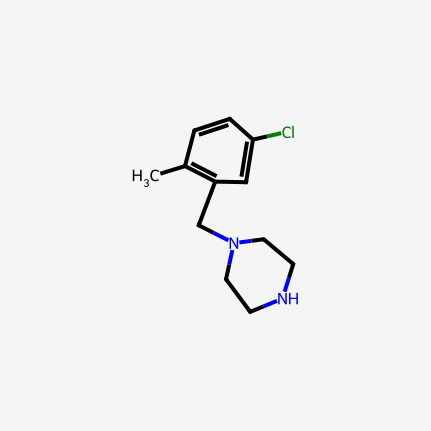 Cc1ccc(Cl)cc1CN1CCNCC1